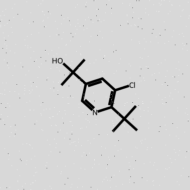 CC(C)(C)c1ncc(C(C)(C)O)cc1Cl